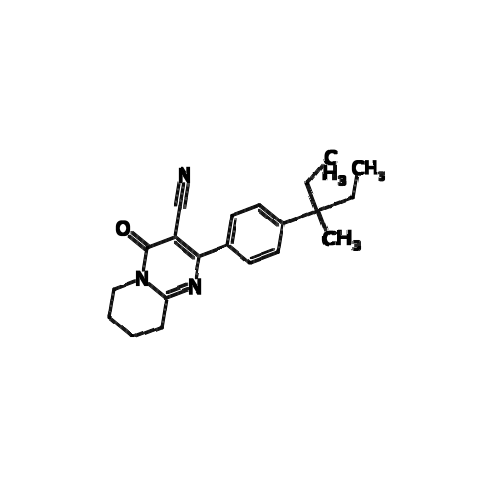 CCC(C)(CC)c1ccc(-c2nc3n(c(=O)c2C#N)CCCC3)cc1